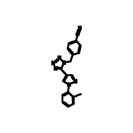 Cc1ccccc1-n1cc(-c2nnnn2Cc2ccc(C#N)cc2)cn1